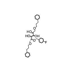 O[C@@H]([C@H](O)[C@@H](COCCCc1ccccc1)OCc1ccc(F)cc1)[C@H](O)COCCCc1ccccc1